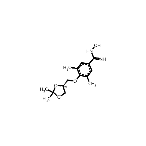 Cc1cc(C(=N)NO)cc(C)c1OC[C@H]1COC(C)(C)O1